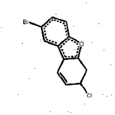 ClC1C=Cc2c(oc3ccc(Br)cc23)C1